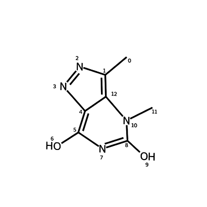 Cc1nnc2c(O)nc(O)n(C)c1-2